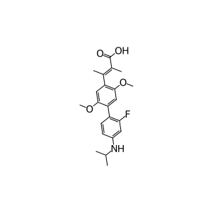 COc1cc(-c2ccc(NC(C)C)cc2F)c(OC)cc1/C(C)=C(\C)C(=O)O